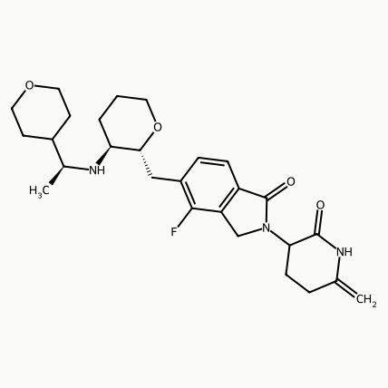 C=C1CCC(N2Cc3c(ccc(C[C@H]4OCCC[C@@H]4N[C@@H](C)C4CCOCC4)c3F)C2=O)C(=O)N1